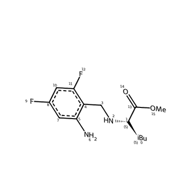 CC[C@H](C)[C@H](NCc1c(N)cc(F)cc1F)C(=O)OC